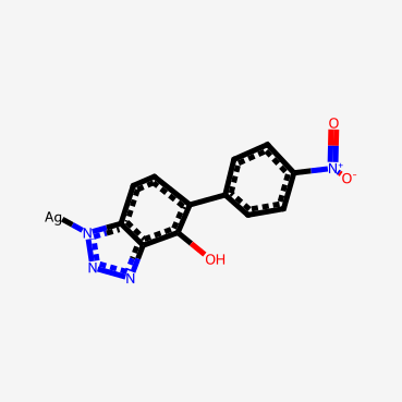 O=[N+]([O-])c1ccc(-c2ccc3c(nn[n]3[Ag])c2O)cc1